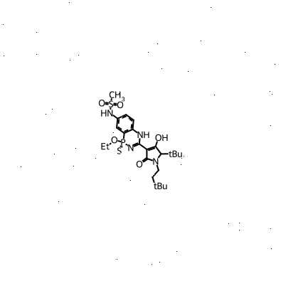 CCOP1(=S)N=C(C2=C(O)C(C(C)(C)C)N(CCC(C)(C)C)C2=O)Nc2ccc(NS(C)(=O)=O)cc21